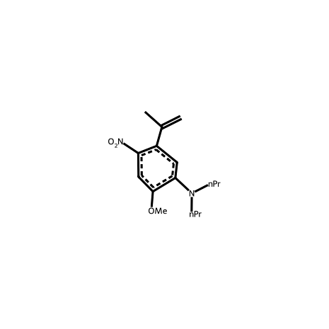 C=C(C)c1cc(N(CCC)CCC)c(OC)cc1[N+](=O)[O-]